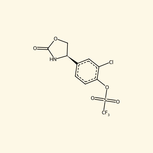 O=C1N[C@H](c2ccc(OS(=O)(=O)C(F)(F)F)c(Cl)c2)CO1